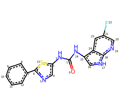 O=C(Nc1cnc(-c2ccccc2)s1)Nc1c[nH]c2ncc(F)cc12